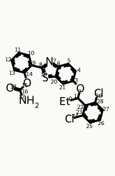 CCC(Oc1ccc2nc(-c3ccccc3OC(N)=O)sc2c1)c1c(Cl)cccc1Cl